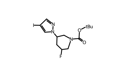 CC(C)(C)OC(=O)N1CC(F)CC(n2cc(I)cn2)C1